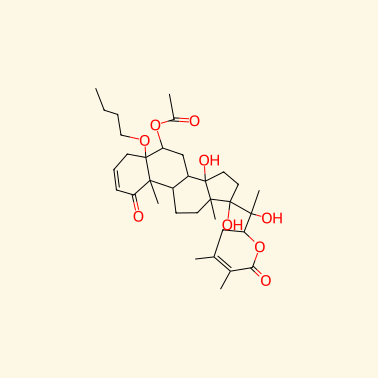 CCCCOC12CC=CC(=O)C1(C)C1CCC3(C)C(O)(CCC3(O)C(C)(O)C3CC(C)=C(C)C(=O)O3)C1CC2OC(C)=O